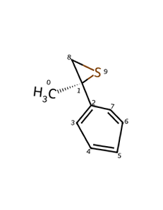 C[C@]1(c2ccccc2)CS1